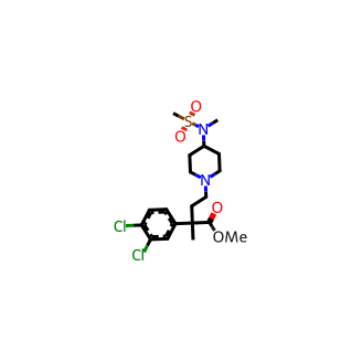 COC(=O)C(C)(CCN1CCC(N(C)S(C)(=O)=O)CC1)c1ccc(Cl)c(Cl)c1